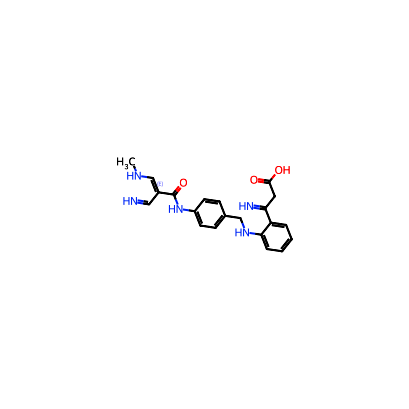 CN/C=C(\C=N)C(=O)Nc1ccc(CNc2ccccc2C(=N)CC(=O)O)cc1